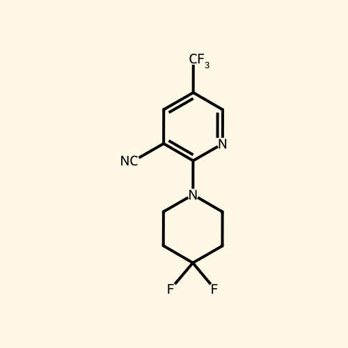 N#Cc1cc(C(F)(F)F)cnc1N1CCC(F)(F)CC1